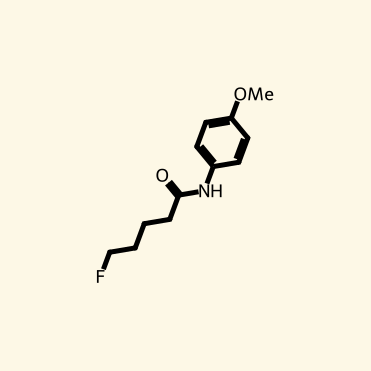 COc1ccc(NC(=O)CCCCF)cc1